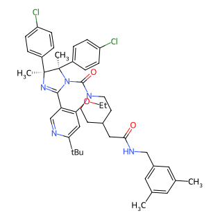 CCOc1cc(C(C)(C)C)ncc1C1=N[C@@](C)(c2ccc(Cl)cc2)[C@@](C)(c2ccc(Cl)cc2)N1C(=O)N1CCC(CC(=O)NCc2cc(C)cc(C)c2)CC1